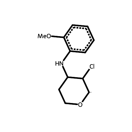 COc1ccccc1NC1CCO[CH]C1Cl